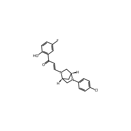 O=C(/C=C/N1C[C@H]2C[C@@H]1CN2c1ccc(Cl)cc1)c1cc(F)ccc1O